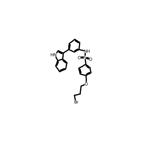 O=S(=O)(Nc1cccc(-c2c[nH]c3ccccc23)c1)c1ccc(OCCCBr)cc1